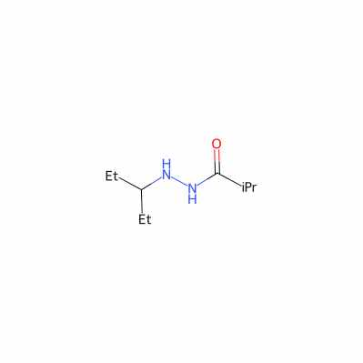 CCC(CC)NNC(=O)C(C)C